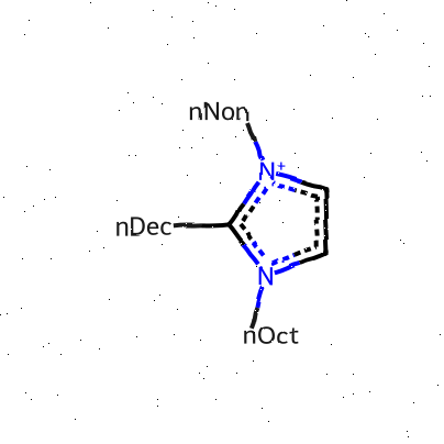 CCCCCCCCCCc1n(CCCCCCCC)cc[n+]1CCCCCCCCC